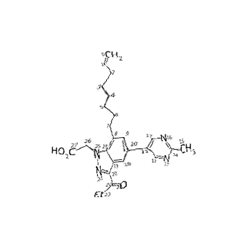 C=CCCCCCCc1cc(-c2cnc(C)nc2)cc2c(C(=O)CC)nn(CC(=O)O)c12